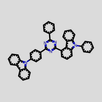 c1ccc(-c2nc(-c3ccc(-n4c5ccccc5c5ccccc54)cc3)nc(-c3cccc4c3c3ccccc3n4-c3ccccc3)n2)cc1